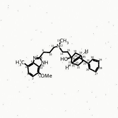 COc1ccc(C)c2nc(CCCN(C)CC[C@]3(O)C[C@H]4CC[C@@H]3C=C4c3ccccc3)[nH]c12